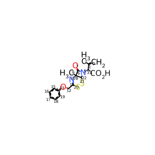 C=C(C)C(C(=O)O)N1C(=O)C2(C)N=C(COc3ccccc3)SSC12